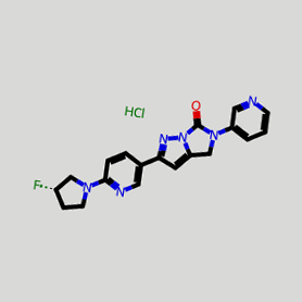 Cl.O=C1N(c2cccnc2)Cc2cc(-c3ccc(N4CC[C@H](F)C4)nc3)nn21